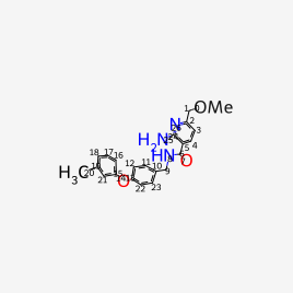 COCc1ccc(C(=O)NCc2ccc(Oc3cccc(C)c3)cc2)c(N)n1